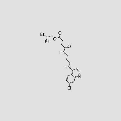 CCC(CC)COC(=O)CCC(=O)NCCCNc1ccnc2cc(Cl)ccc12